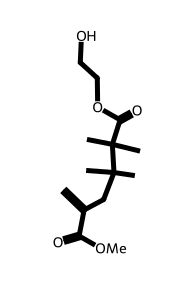 C=C(CC(C)(C)C(C)(C)C(=O)OCCO)C(=O)OC